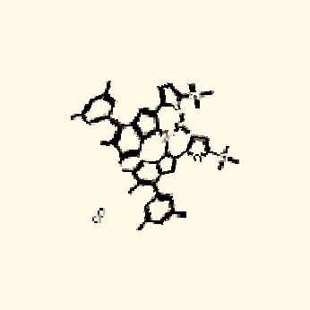 Cc1cc(C)cc(-c2c(C)c(C)cc3c2C=C(c2ccc([Si](C)(C)C)o2)[CH]3[Zr+2]([CH]2C(c3ccc([Si](C)(C)C)o3)=Cc3c2cc(C)c(C)c3-c2cc(C)cc(C)c2)=[Si](C)C)c1.[Cl-].[Cl-]